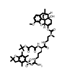 COc1ccc2c3c1O[C@H]1C(OC(=O)N(C)CCNC(=O)[C@@H](CCCN/C(N)=N\S(=O)(=O)c4c(C)c(C)c5c(c4C)CC(C)(C)O5)NC(=O)CC(=O)OC(C)(C)C)=CC[C@@]4(O)[C@@H](C2)N(C)CC[C@]314